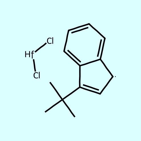 CC(C)(C)C1=C[CH]c2ccccc21.[Cl][Hf][Cl]